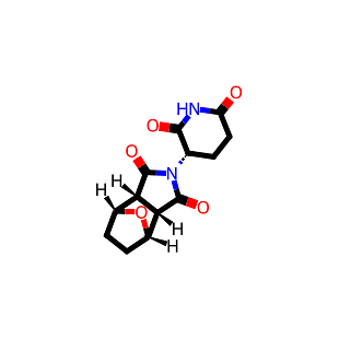 O=C1CC[C@H](N2C(=O)[C@@H]3[C@H](C2=O)[C@@H]2CC[C@H]3O2)C(=O)N1